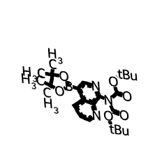 CC(C)(C)OC(=O)N(C(=O)OC(C)(C)C)c1ncc(B2OC(C)(C)C(C)(C)O2)c2cccnc12